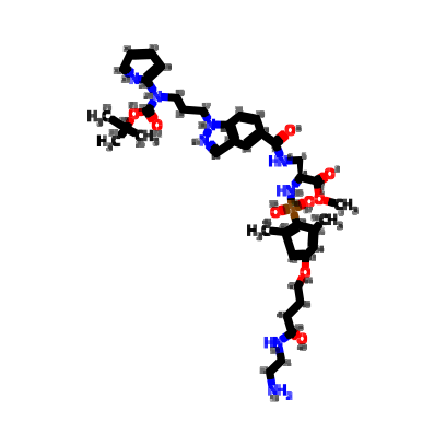 COC(=O)[C@H](CNC(=O)c1ccc2c(cnn2CCCN(C(=O)OC(C)(C)C)c2ccccn2)c1)NS(=O)(=O)c1c(C)cc(OCCCC(=O)NCCN)cc1C